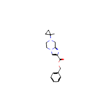 BC1(N2CCn3cc(C(=O)OCc4ccccc4)nc3C2)CC1